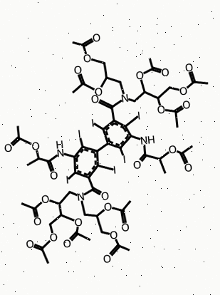 CC(=O)OCC(CN(CC(OC(C)=O)C(COC(C)=O)OC(C)=O)C(=O)c1c(I)c(NC(=O)C(C)OC(C)=O)c(I)c(-c2c(I)c(NC(=O)C(C)OC(C)=O)c(I)c(C(=O)N(CC(COC(C)=O)OC(C)=O)CC(OC(C)=O)C(COC(C)=O)OC(C)=O)c2I)c1I)OC(C)=O